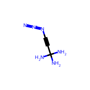 [N-]=[N+]=NC#CC(N)(N)N